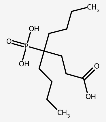 CCCCC(CCCC)(CCC(=O)O)P(=O)(O)O